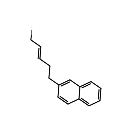 IC/C=C/CCc1ccc2ccccc2c1